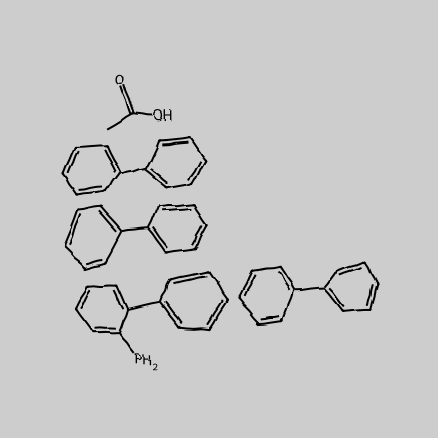 CC(=O)O.Pc1ccccc1-c1ccccc1.c1ccc(-c2ccccc2)cc1.c1ccc(-c2ccccc2)cc1.c1ccc(-c2ccccc2)cc1